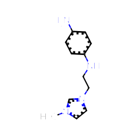 Cn1cc[n+](CCNc2ccc(N)cc2)c1